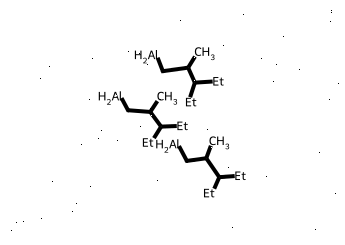 CCC(CC)C(C)[CH2][AlH2].CCC(CC)C(C)[CH2][AlH2].CCC(CC)C(C)[CH2][AlH2]